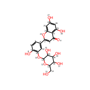 O=c1cc(-c2ccc(O)c(OC3OC(CO)C(O)C(O)C3O)c2)oc2cc(O)cc(O)c12